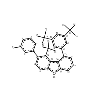 Cc1cccc(-c2ccc3oc4cccc(-c5cc(C(C)(C)C)cc(C(C)(C)C)c5)c4c3c2C(C)(C)C)c1